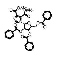 COC(=O)c1ncn([C@@H]2O[C@H](COC(=O)c3ccccc3)[C@@H](OC(=O)c3ccccc3)[C@H]2OC(=O)c2ccccc2)c1C(=O)OC